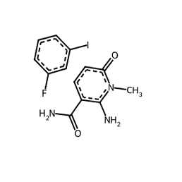 Cn1c(N)c(C(N)=O)ccc1=O.Fc1cccc(I)c1